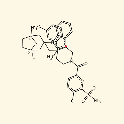 Cc1nc2ccccc2n1C1C[C@H]2CC[C@@H](C1)N2CCC1(c2cccc(C(F)(F)F)c2)CCN(C(=O)c2ccc(Cl)c(S(N)(=O)=O)c2)CC1